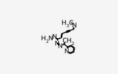 C=C(\N=N/C(/C=C/C#C/C=N\C)=N\N)c1ccccn1